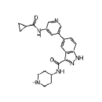 O=C(NC1CCNCC1)c1n[nH]c2ccc(-c3cncc(NC(=O)C4CC4)c3)cc12